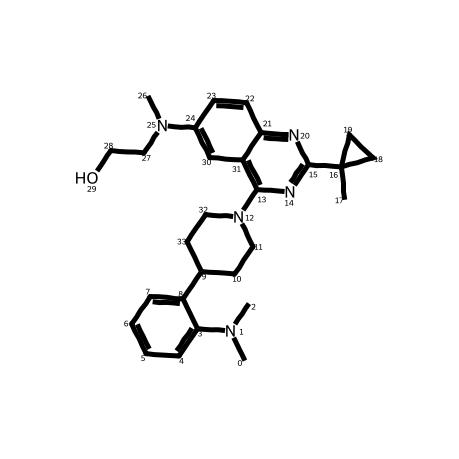 CN(C)c1ccccc1C1CCN(c2nc(C3(C)CC3)nc3ccc(N(C)CCO)cc23)CC1